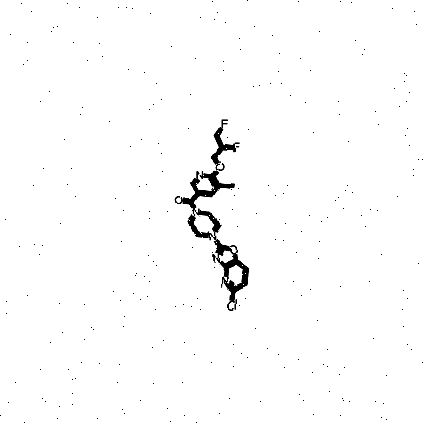 Cc1cc(C(=O)N2CCN(c3nc4nc(Cl)ccc4o3)CC2)cnc1OCC(F)CF